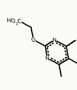 Cc1nc(OCC(=O)O)nc(C)c1C